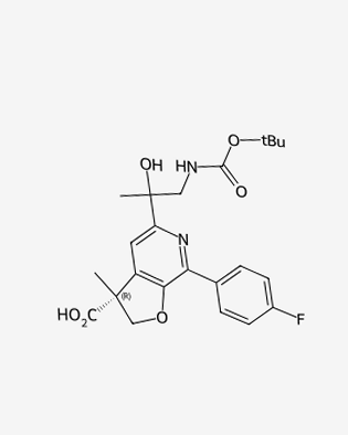 CC(C)(C)OC(=O)NCC(C)(O)c1cc2c(c(-c3ccc(F)cc3)n1)OC[C@]2(C)C(=O)O